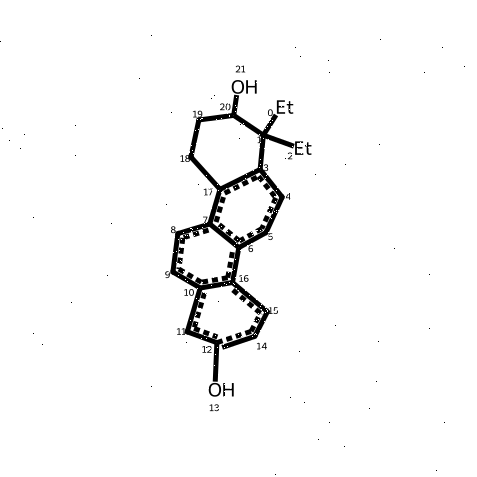 CCC1(CC)c2ccc3c(ccc4cc(O)ccc43)c2CCC1O